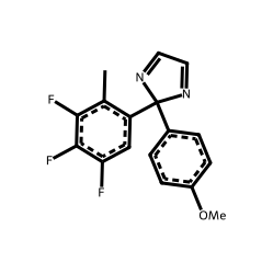 COc1ccc(C2(c3cc(F)c(F)c(F)c3C)N=CC=N2)cc1